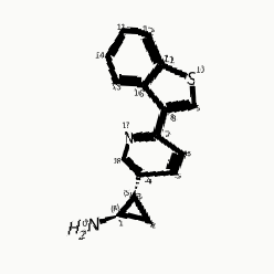 N[C@@H]1C[C@H]1c1ccc(-c2csc3ccccc23)nc1